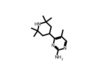 Cc1cnc(N)nc1C1CC(C)(C)NC(C)(C)C1